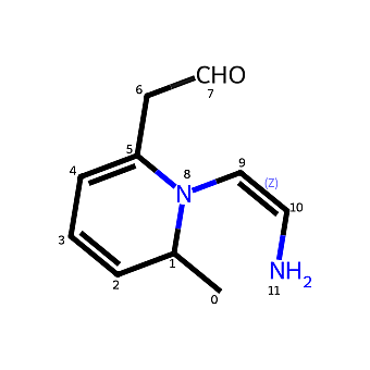 CC1C=CC=C(CC=O)N1/C=C\N